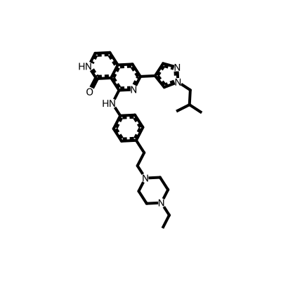 CCN1CCN(CCc2ccc(Nc3nc(-c4cnn(CC(C)C)c4)cc4cc[nH]c(=O)c34)cc2)CC1